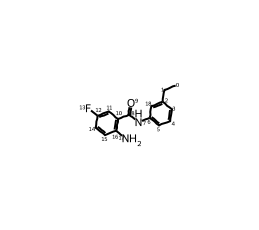 CCc1cccc(NC(=O)c2cc(F)ccc2N)c1